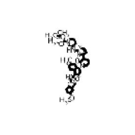 COc1cccc(CS(=O)(=O)Nc2c(F)ccc3c(Oc4ncccc4-c4ccnc(N[C@H]5CCCN(C(=O)OC(C)(C)C)C5)n4)c(C)ccc23)c1